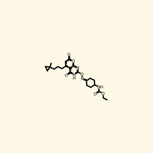 CCOC(=O)NC1CCC(=NOc2nc3oc(=O)cc(CCCC4(C)CC4)c3c(=O)[nH]2)CC1